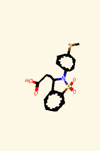 CSc1ccc(N2C(CC(=O)O)c3ccccc3S2(=O)=O)cc1